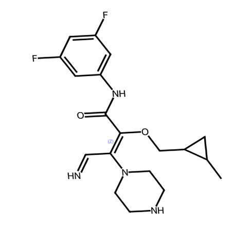 CC1CC1CO/C(C(=O)Nc1cc(F)cc(F)c1)=C(/C=N)N1CCNCC1